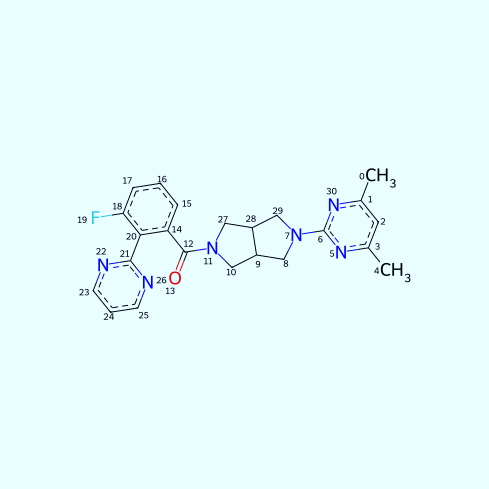 Cc1cc(C)nc(N2CC3CN(C(=O)c4cccc(F)c4-c4ncccn4)CC3C2)n1